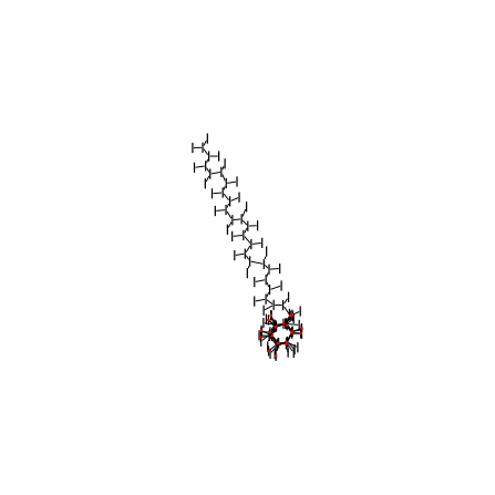 II(I)I(I)I(I)I(I)I(I)I(I)I(I)I(I)I(I)I(I)I(I)I(I)I(I)I(I)I(I)I(I)I(I)I(I)I(I)I(I)I(I)I(I)I(I)I(I)I(I)I(I)I(I)I(I)I(I)I(I)I(I)I(I)I(I)I(I)I(I)I(I)I(I)I(I)I(I)I(I)I(I)I(I)I(I)I(I)I(I)I(I)I(I)I(I)I(I)I(I)I(I)I